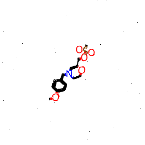 COc1ccc(CN2CCO[C@H](COS(C)(=O)=O)C2)cc1